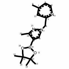 Cc1ccnc(Cn2cc(B3OC(C)(C)C(C)(C)O3)c(C)n2)c1